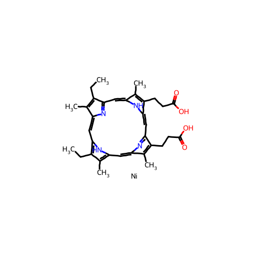 CCC1=C(C)c2cc3[nH]c(cc4nc(cc5[nH]c(cc1n2)c(C)c5CCC(=O)O)C(CCC(=O)O)=C4C)c(C)c3CC.[Ni]